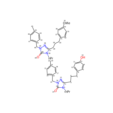 CCCn1c(CCCc2ccc(O)cc2)nn(Cc2ccc(C)cc2)c1=O.CCCn1c(CCCc2ccc(OC)cc2)nn(Cc2ccc(C)cc2)c1=O